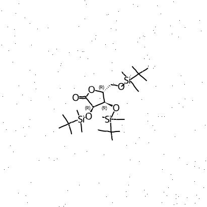 CC(C)(C)[Si](C)(C)OC[C@H]1OC(=O)[C@H](O[Si](C)(C)C(C)(C)C)[C@@H]1O[Si](C)(C)C(C)(C)C